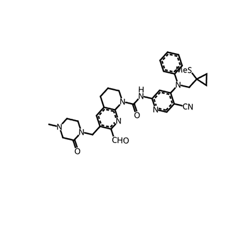 CSC1(CN(c2ccccc2)c2cc(NC(=O)N3CCCc4cc(CN5CCN(C)CC5=O)c(C=O)nc43)ncc2C#N)CC1